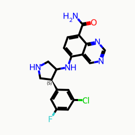 NC(=O)c1ccc(NC2CNC[C@@H]2c2cc(F)cc(Cl)c2)c2cncnc12